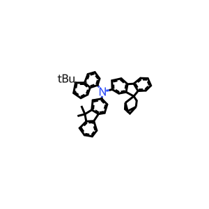 CC(C)(C)c1cccc2c(N(c3ccc4c(c3)C(C)(C)c3ccccc3-4)c3ccc4c(c3)C3(CC5CCC3C5)c3ccccc3-4)cccc12